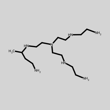 CC(CCN)NCCN(CCNCCN)CCNCCN